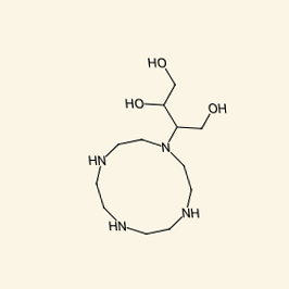 OCC(O)C(CO)N1CCNCCNCCNCC1